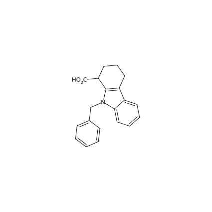 O=C(O)C1CCCc2c1n(Cc1ccccc1)c1ccccc21